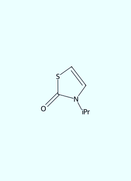 CC(C)n1ccsc1=O